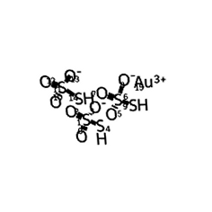 O=S(=O)([O-])S.O=S(=O)([O-])S.O=S(=O)([O-])S.[Au+3]